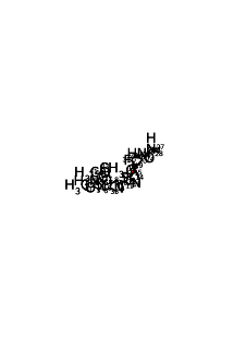 COCCN(Cc1ccc(-c2cc3nccc(Oc4ccc(NC(=O)NC5CC5)cc4F)c3s2)nc1)C(=O)[C@H](N)C(C)OC